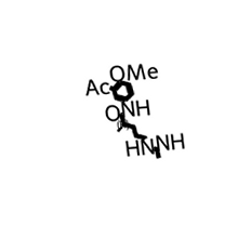 COc1ccc(NC(=O)[C@H](C)CCCNC(C)=N)cc1C(C)=O